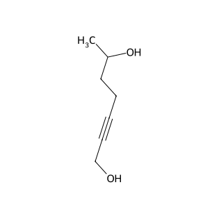 CC(O)CCC#CCO